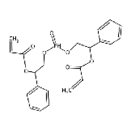 C=CC(=O)OC(CO[PH](=O)OCC(OC(=O)C=C)c1ccccc1)c1ccccc1